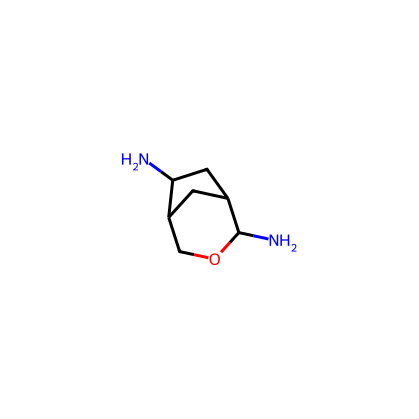 NC1CC2CC1COC2N